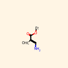 CCOC(=O)C(C=O)=CN